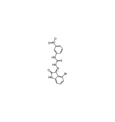 O=C1Nc2cccc(Br)c2/C1=N/NC(=S)Nc1cccc([N+](=O)[O-])c1